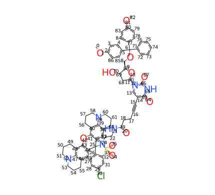 COc1ccc(C(OC[C@H]2O[C@@H](n3cc(C#CCCC(=O)NCCN4C5(c6ccc(Cl)cc6S4(=O)=O)c4cc6c7c(c4Oc4c5cc5c8c4CCCN8CCC5)CCCN7CCC6)c(=O)[nH]c3=O)CC2O)(c2ccccc2)c2ccc(OC)cc2)cc1